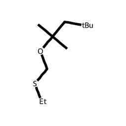 CCSCOC(C)(C)CC(C)(C)C